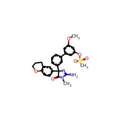 COc1cc(OS(C)(=O)=O)cc(-c2cccc(C3(c4ccc5c(c4)CCCO5)N=C(N)N(C)C3=O)c2)c1